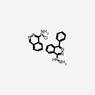 NN(Cl)c1nncc2ccccc12.NNc1nnc(-c2ccccc2)c2ccccc12